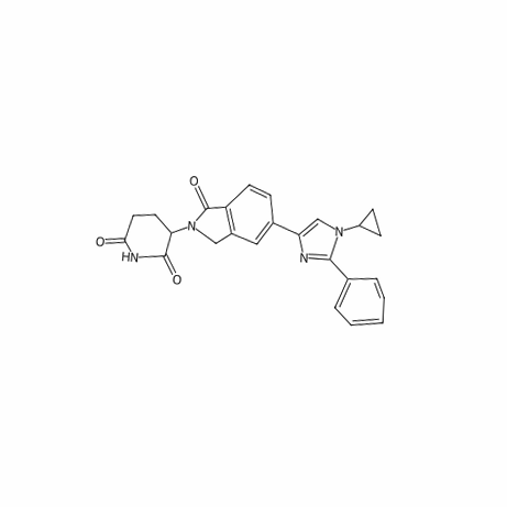 O=C1CCC(N2Cc3cc(-c4cn(C5CC5)c(-c5ccccc5)n4)ccc3C2=O)C(=O)N1